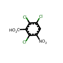 O=C(O)c1c(Cl)c(Cl)cc([N+](=O)[O-])c1Cl